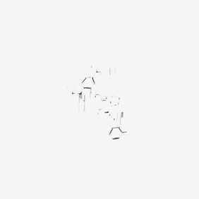 CO[C@@H]1CCN(C(=O)CNc2cc(C(=O)O)ccc2C(=N)C(C)=O)[C@@H]1C(=O)NCc1cccc(Cl)c1F